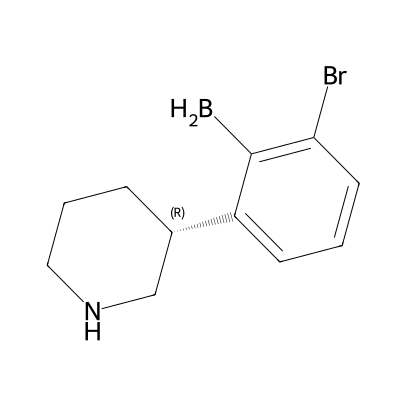 Bc1c(Br)cccc1[C@H]1CCCNC1